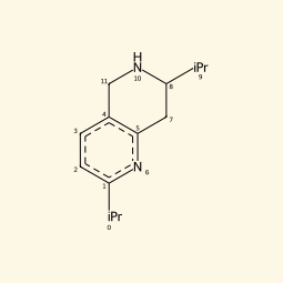 CC(C)c1ccc2c(n1)CC(C(C)C)NC2